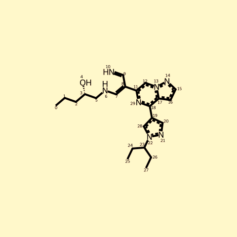 CCC[C@H](O)CN/C=C(\C=N)c1cn2nccc2c(-c2cnn(C(CC)CC)c2)n1